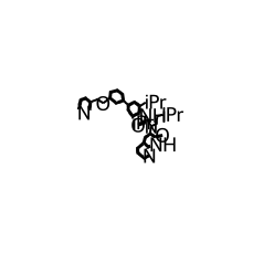 CC(C)CCN(C(=O)Nc1c(C(C)C)cc(-c2cccc(OCc3cccnc3)c2)cc1C(C)C)c1cc2cccnc2[nH]c1=O